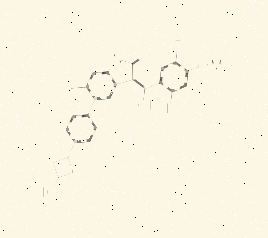 COc1cc(F)c(C(O)=C2C(=O)Nc3cc(Cl)c(-c4ccc(C5CC(O)C5)cc4)cc32)cc1F